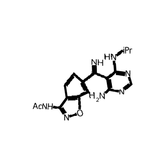 CC(=O)Nc1noc2cc(C(=N)c3c(N)ncnc3NC(C)C)ccc12